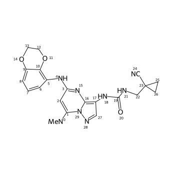 CNc1cc(Nc2cccc3c2OCCO3)nc2c(NC(=O)NCC3(C#N)CC3)cnn12